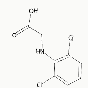 O=C(O)CNc1c(Cl)cccc1Cl